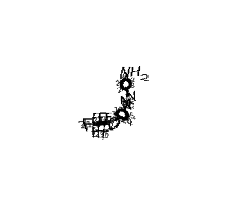 Nc1ccc(-c2ncn(-c3ccc(OC(F)(F)C(F)(F)C(F)(F)F)cc3)n2)cc1